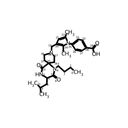 CCCCN1C(=O)C(CC(C)C)NC(=O)C12CCN(Cc1cc(C)n(-c3ccc(C(=O)O)cc3)c1C)CC2